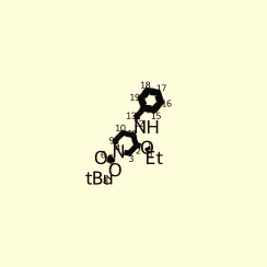 CCOC1CN(C(=O)OC(C)(C)C)CCC1NCc1ccccc1